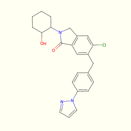 O=C1c2cc(Cc3ccc(-n4cccn4)cc3)c(Cl)cc2CN1C1CCCCC1O